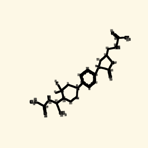 CC1(F)CN(c2ccc(N3CC(CNC(=O)C(F)(F)F)OC3=O)cc2)CCN1C(NC(=O)C(Cl)(Cl)Cl)C(Cl)(Cl)Cl